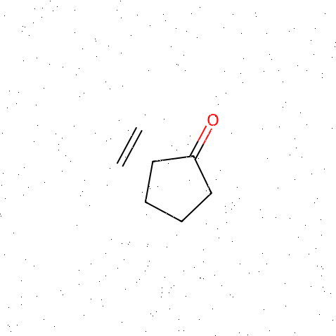 C=C.O=C1CCCC1